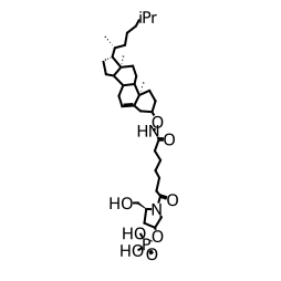 CC(C)CCC[C@@H](C)[C@H]1CCC2C3CC=C4CC(ONC(=O)CCCCCC(=O)N5CC(OP(=O)(O)O)C[C@H]5CO)CC[C@]4(C)C3CC[C@@]21C